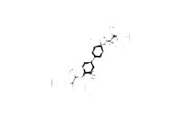 C=C(C)C(=O)Oc1ccc(-c2ccc(OC(O)C(=C)C)c(F)c2)cc1F